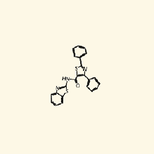 O=C(Nc1nc2ccccc2s1)c1sc(-c2ccccc2)nc1-c1ccccc1